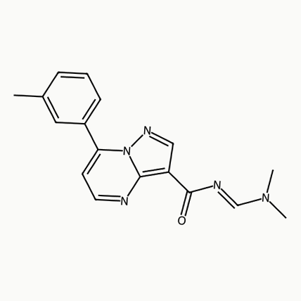 Cc1cccc(-c2ccnc3c(C(=O)N=CN(C)C)cnn23)c1